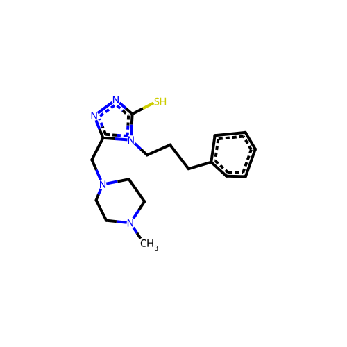 CN1CCN(Cc2nnc(S)n2CCCc2ccccc2)CC1